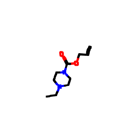 C=CCOC(=O)N1CCN(CC)CC1